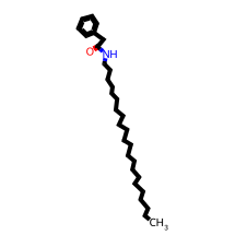 CCCCCCCCCCCCCCCCCCCCCCNC(=O)Cc1ccccc1